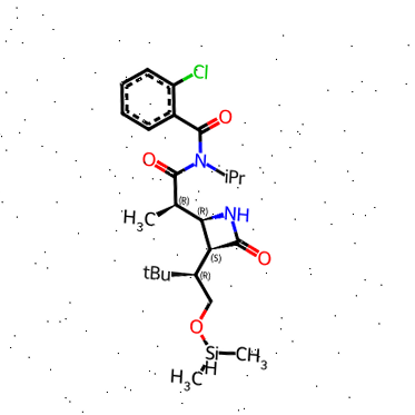 CC(C)N(C(=O)c1ccccc1Cl)C(=O)[C@H](C)[C@H]1NC(=O)[C@H]1[C@@H](CO[SiH](C)C)C(C)(C)C